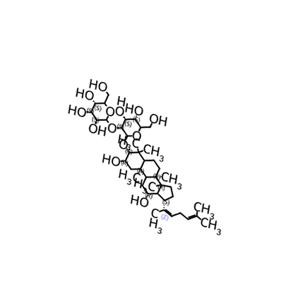 CC(C)=CC/C=C(/C)[C@H]1CC[C@]2(C)C1[C@H](O)CC1[C@@]3(C)C[C@@H](O)[C@H](OC4OC(CO)[C@@H](O)[C@H](O)[C@@H]4OC4OC(CO)[C@@H](O)[C@H](O)[C@@H]4O)C(C)(C)C3CC[C@]12C